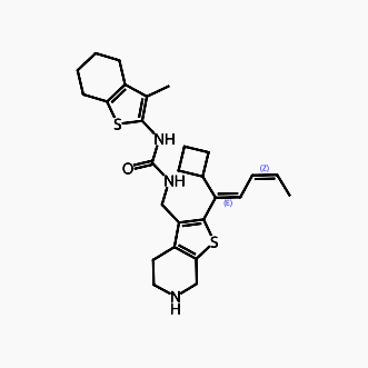 C/C=C\C=C(\c1sc2c(c1CNC(=O)Nc1sc3c(c1C)CCCC3)CCNC2)C1CCC1